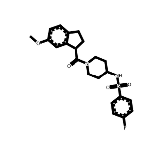 COc1ccc2c(c1)C(C(=O)N1CCC(NS(=O)(=O)c3ccc(F)cc3)CC1)CC2